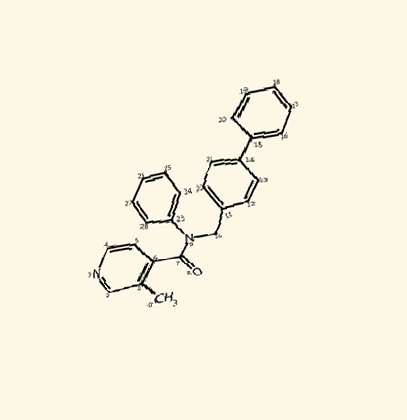 Cc1cnccc1C(=O)N(Cc1ccc(-c2ccccc2)cc1)c1ccccc1